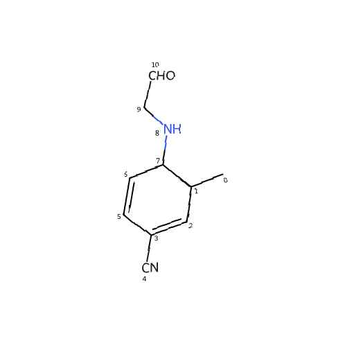 CC1C=C(C#N)C=CC1NCC=O